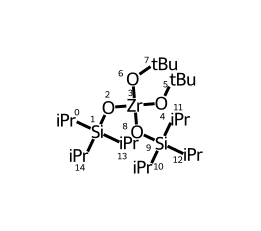 CC(C)[Si]([O][Zr]([O]C(C)(C)C)([O]C(C)(C)C)[O][Si](C(C)C)(C(C)C)C(C)C)(C(C)C)C(C)C